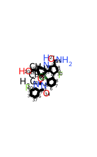 Cn1c(=O)n(-c2cccc([C@H]3c4c([nH]c5cc(C(C)(C)O)ccc45)C(C(N)=O)C[C@H]3F)c2Cl)c(=O)c2cccc(F)c21